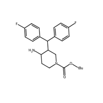 CC(C)(C)OC(=O)N1CCC(N)C(C(c2ccc(F)cc2)c2ccc(F)cc2)C1